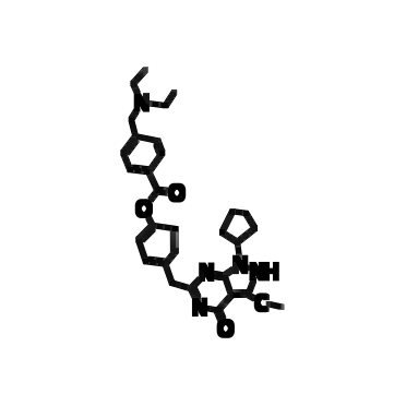 CCc1[nH]n(C2CCCC2)c2nc(Cc3ccc(OC(=O)c4ccc(CN(CC)CC)cc4)cc3)nc(=O)c1-2